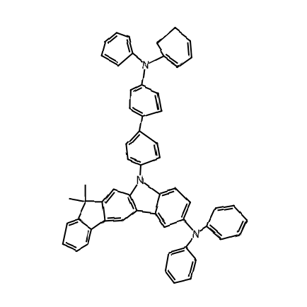 CC1(C)c2ccccc2-c2cc3c4cc(N(c5ccccc5)c5ccccc5)ccc4n(-c4ccc(-c5ccc(N(C6=CC=CCC6)c6ccccc6)cc5)cc4)c3cc21